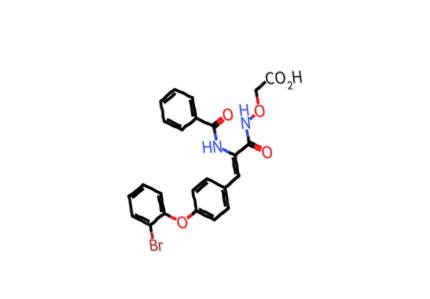 O=C(O)CONC(=O)/C(=C/c1ccc(Oc2ccccc2Br)cc1)NC(=O)c1ccccc1